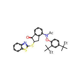 CCC(C)(C)c1ccc(ON(C(C)=O)c2cccc3c2CC(Sc2nc4ccccc4s2)C3=O)c(C(C)(C)CC)c1